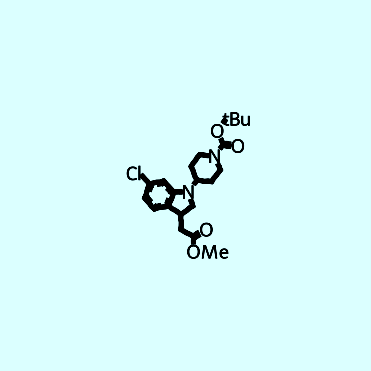 COC(=O)CC1CN(C2CCN(C(=O)OC(C)(C)C)CC2)c2cc(Cl)ccc21